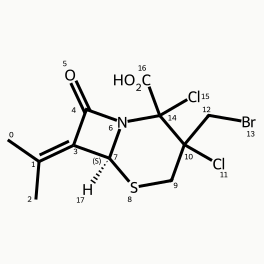 CC(C)=C1C(=O)N2[C@H]1SCC(Cl)(CBr)C2(Cl)C(=O)O